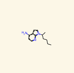 CCCCC(C)n1ccc2c(N)ccnc21